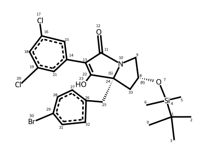 CC(C)(C)[Si](C)(C)O[C@H]1CN2C(=O)C(c3cc(Cl)cc(Cl)c3)=C(O)[C@]2(Cc2ccc(Br)cc2)C1